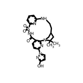 CC1(C)CC2CCCNc3cccc(n3)S(=O)(=O)NC(=O)c3ccc(-n4ccc(O)n4)nc3N1C2